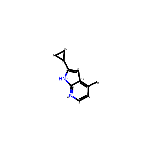 Cc1ccnc2[nH]c(C3CC3)cc12